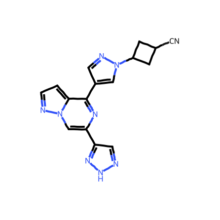 N#CC1CC(n2cc(-c3nc(-c4cn[nH]n4)cn4nccc34)cn2)C1